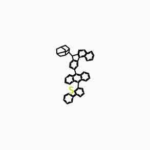 c1ccc2c3c(ccc2c1)C(C1C2CC4CC(C2)CC1C4)c1ccc(-c2c4ccccc4c(-c4cccc5c4sc4ccccc45)c4ccccc24)cc1-3